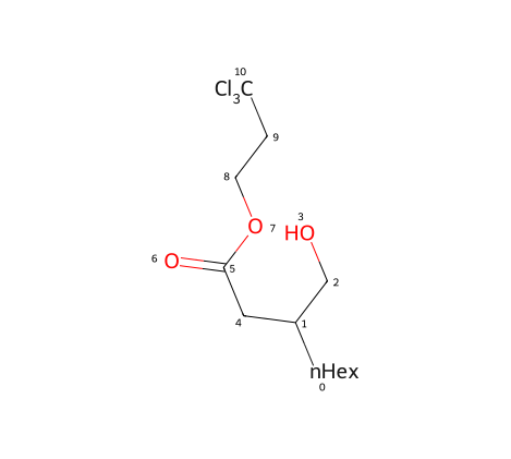 CCCCCCC(CO)CC(=O)OCCC(Cl)(Cl)Cl